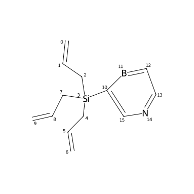 C=CC[Si](CC=C)(CC=C)c1bccnc1